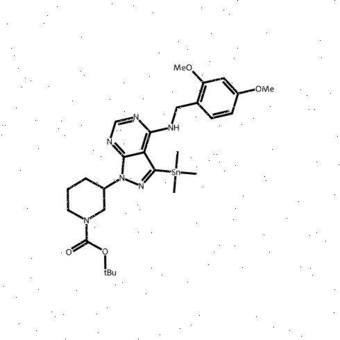 COc1ccc(CNc2ncnc3c2[c]([Sn]([CH3])([CH3])[CH3])nn3C2CCCN(C(=O)OC(C)(C)C)C2)c(OC)c1